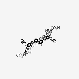 Cc1c(COc2cc(OCC3CCOC3)c(CNCC(O)CC(=O)O)cc2Cl)cccc1-c1cccc(COc2cc(OCC3CCOC3)c(CNCC(O)CC(=O)O)cc2Cl)c1C